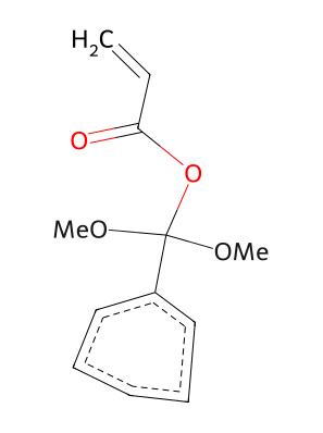 C=CC(=O)OC(OC)(OC)c1ccccc1